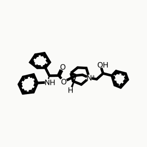 O=C(O[C@H]1C[N+]2(CC(O)c3ccccc3)CCC1CC2)[C@H](Nc1ccccc1)c1ccccc1